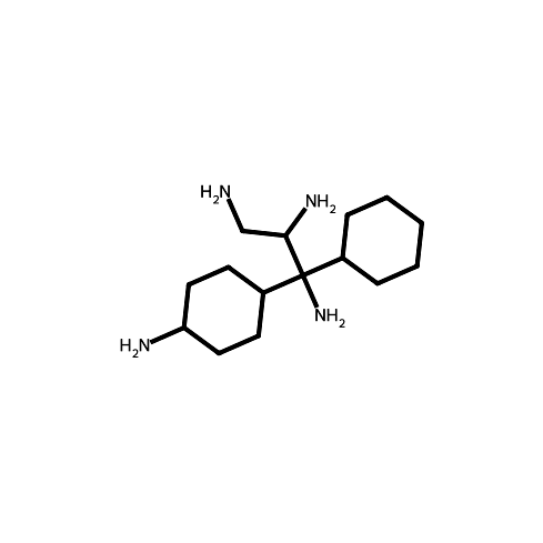 NCC(N)C(N)(C1CCCCC1)C1CCC(N)CC1